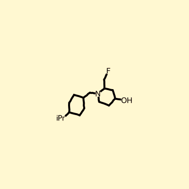 CC(C)C1CCC(CN2CCC(O)CC2CF)CC1